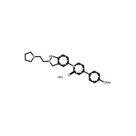 COc1ccc(-c2ccn(-c3ccc4c(c3)CN(CCN3CCCC3)N4)c(=O)c2)cc1.Cl